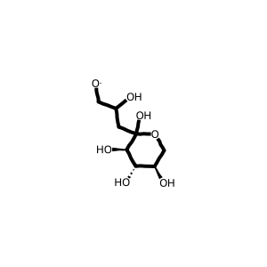 [O]CC(O)CC1(O)OC[C@@H](O)[C@H](O)[C@H]1O